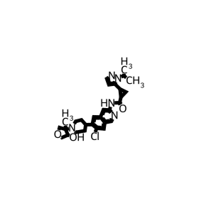 CC(C)n1nccc1C1CC1C(=O)Nc1cc2cc(C3CCN(C4(C)COCC4O)CC3)c(Cl)cc2cn1